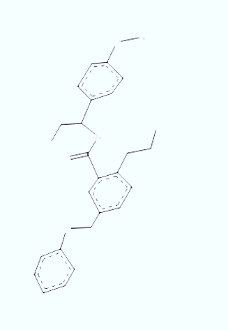 CCCOc1ccc(C(CC(C)C)NC(=O)c2cc(COc3ccccc3)ccc2CCC(=O)O)cc1